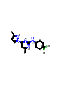 Cc1cc(-n2ccc(C)n2)nc(NC2CCC(F)(F)CC2)n1